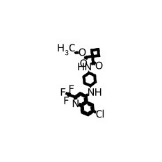 CCOC(=O)C1(C(=O)N[C@H]2CC[C@@H](Nc3cc(C(F)(F)F)nc4ccc(Cl)cc34)CC2)CCC1